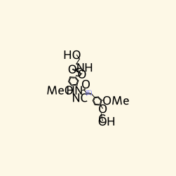 COc1ccc(S(=O)(=O)NCCO)cc1NC(=O)/C(C#N)=C/c1ccc(OCCO)c(OC)c1